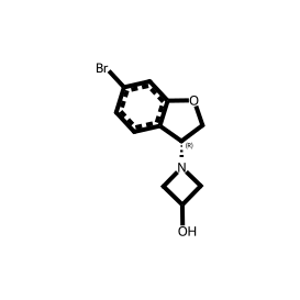 OC1CN([C@H]2COc3cc(Br)ccc32)C1